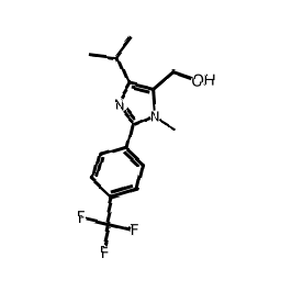 CC(C)c1nc(-c2ccc(C(F)(F)F)cc2)n(C)c1CO